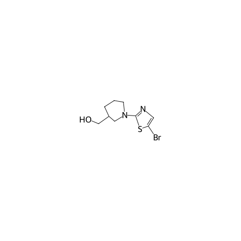 OCC1CCCN(c2ncc(Br)s2)C1